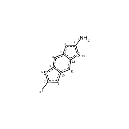 Nc1cc2cc3sc(I)cc3cc2s1